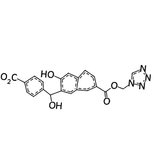 O=C(O)c1ccc(C(O)c2cc3cc(C(=O)OCn4cnnn4)ccc3cc2O)cc1